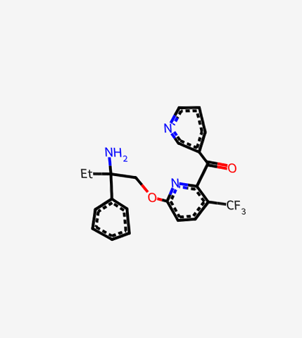 CCC(N)(COc1ccc(C(F)(F)F)c(C(=O)c2cccnc2)n1)c1ccccc1